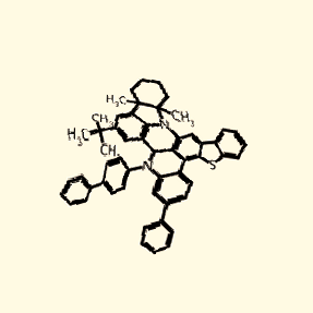 CC(C)(C)c1cc2c3c(c1)C1(C)CCCCC1(C)N3c1cc3c(sc4ccccc43)c3c1C2N(c1ccc(-c2ccccc2)cc1)c1cc(-c2ccccc2)ccc1-3